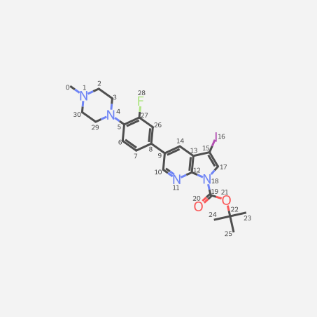 CN1CCN(c2ccc(-c3cnc4c(c3)c(I)cn4C(=O)OC(C)(C)C)cc2F)CC1